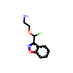 NCCOC(Cl)c1noc2ccccc12